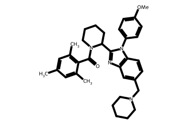 COc1ccc(-n2c(C3CCCCN3C(=O)c3c(C)cc(C)cc3C)nc3cc(CN4CCCCC4)ccc32)cc1